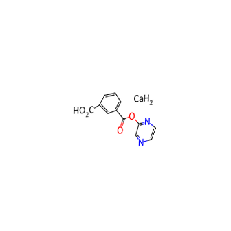 O=C(O)c1cccc(C(=O)Oc2cnccn2)c1.[CaH2]